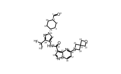 O=C[C@H]1CC[C@H](n2cc(NC(=O)c3cnn4ccc(N5CC6(COC6)C5)nc34)c(C(F)F)n2)CC1